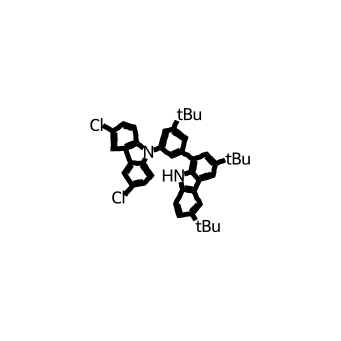 CC(C)(C)c1cc(-c2cc(C(C)(C)C)cc3c2[nH]c2ccc(C(C)(C)C)cc23)cc(-n2c3ccc(Cl)cc3c3cc(Cl)ccc32)c1